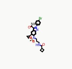 CNC(=O)c1c2cc(C3CC3)c(N(CCCNC(=O)C3CCC3)S(C)(=O)=O)cc2nn1-c1ccc(Br)cc1